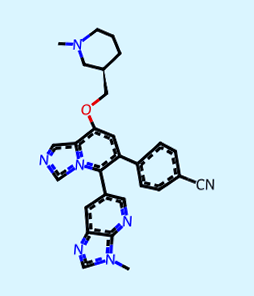 CN1CCC[C@@H](COc2cc(-c3ccc(C#N)cc3)c(-c3cnc4c(c3)ncn4C)n3cncc23)C1